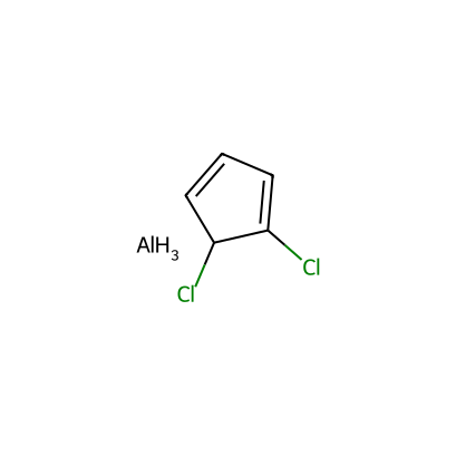 ClC1=CC=CC1Cl.[AlH3]